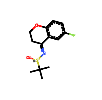 CC(C)(C)[S@+]([O-])N=C1CCOc2ccc(F)cc21